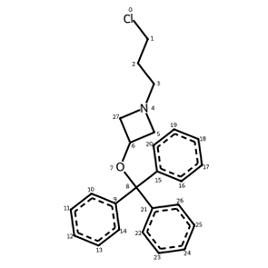 ClCCCN1CC(OC(c2ccccc2)(c2ccccc2)c2ccccc2)C1